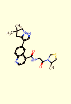 CC1(C)Cc2c(-c3ccc4nccc(C(=O)NCC(=O)N5CSCC5C#N)c4c3)cnn2C1